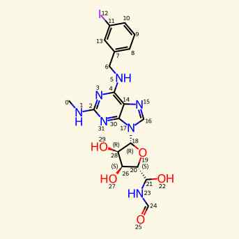 CNc1nc(NCc2cccc(I)c2)c2ncn([C@@H]3O[C@H](C(O)NC=O)[C@@H](O)[C@H]3O)c2n1